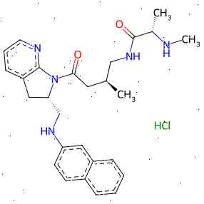 CN[C@@H](C)C(=O)NC[C@@H](C)CC(=O)N1c2ncccc2C[C@H]1CNc1ccc2ccccc2c1.Cl